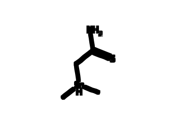 [CH3][SnH]([CH3])[CH2]C(N)=S